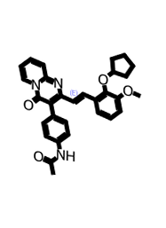 COc1cccc(/C=C/c2nc3ccccn3c(=O)c2-c2ccc(NC(C)=O)cc2)c1OC1CCCC1